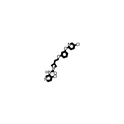 O=C(Nc1cnccc1Cl)N1CC(CCOc2cccc(Oc3ccc(Cl)cn3)c2)C1